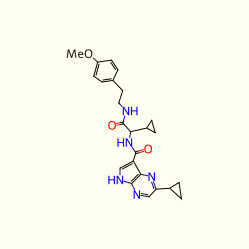 COc1ccc(CCNC(=O)C(NC(=O)c2c[nH]c3ncc(C4CC4)nc23)C2CC2)cc1